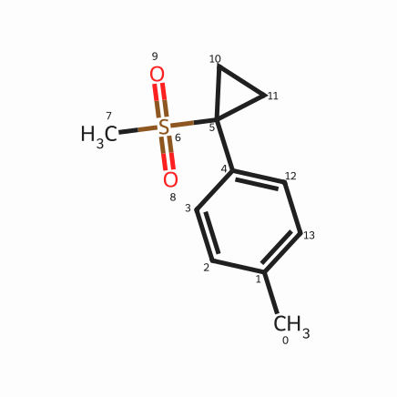 Cc1ccc(C2(S(C)(=O)=O)CC2)cc1